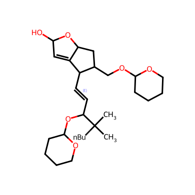 CCCCC(C)(C)C(/C=C/C1C2=CC(O)OC2CC1COC1CCCCO1)OC1CCCCO1